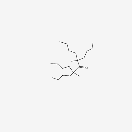 CCCCC(C)(CCCC)C(=O)C(C)(CCCC)CCCC